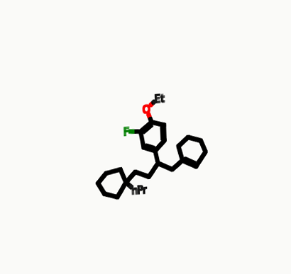 CCCC1(CCC(CC2=CCCCC2)c2ccc(OCC)c(F)c2)CCCCC1